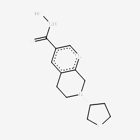 O=C(NO)c1cnc2c(c1)CCN([C@@H]1CCOC1)C2